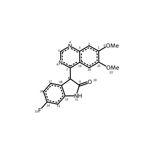 COc1cc2ncnc(C3C(=O)Nc4cc(F)ccc43)c2cc1OC